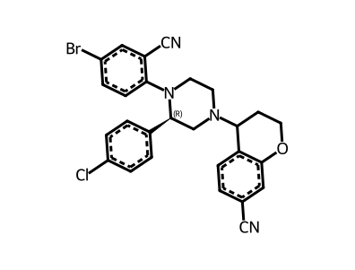 N#Cc1ccc2c(c1)OCCC2N1CCN(c2ccc(Br)cc2C#N)[C@H](c2ccc(Cl)cc2)C1